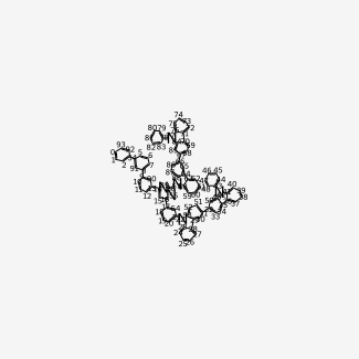 c1ccc(-c2cccc(-c3cccc(-c4cc(-c5cccc(-n6c7ccccc7c7cc(-c8ccc9c%10ccccc%10n(-c%10ccccc%10)c9c8)ccc76)c5)nc(-n5c6ccccc6c6cc(-c7ccc8c9ccccc9n(-c9ccccc9)c8c7)ccc65)n4)c3)c2)cc1